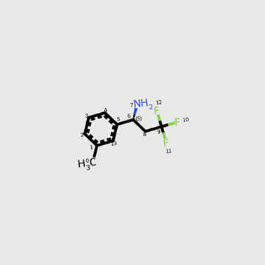 Cc1cccc([C@@H](N)CC(F)(F)F)c1